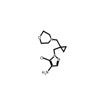 Nc1cnn(CC2(CN3CCOCC3)CC2)c1Cl